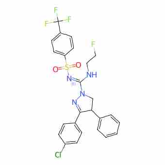 O=S(=O)(/N=C(\NCCF)N1CC(c2ccccc2)C(c2ccc(Cl)cc2)=N1)c1ccc(C(F)(F)F)cc1